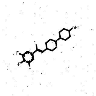 CCCC1CCC(C2CCC(/C=C(\C)c3cc(F)c(F)c(F)c3)CC2)CC1